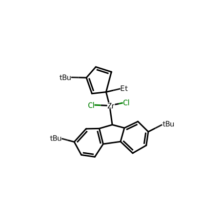 CC[C]1([Zr]([Cl])([Cl])[CH]2c3cc(C(C)(C)C)ccc3-c3ccc(C(C)(C)C)cc32)C=CC(C(C)(C)C)=C1